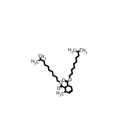 CC(C)CCCCCCCCOC(=O)C1CC=CC(C)C1C(=O)OCCCCCCCCC(C)C